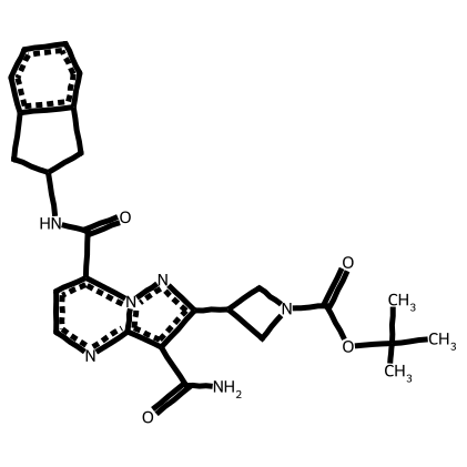 CC(C)(C)OC(=O)N1CC(c2nn3c(C(=O)NC4Cc5ccccc5C4)ccnc3c2C(N)=O)C1